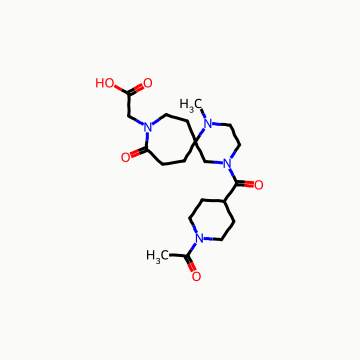 CC(=O)N1CCC(C(=O)N2CCN(C)C3(CCC(=O)N(CC(=O)O)CC3)C2)CC1